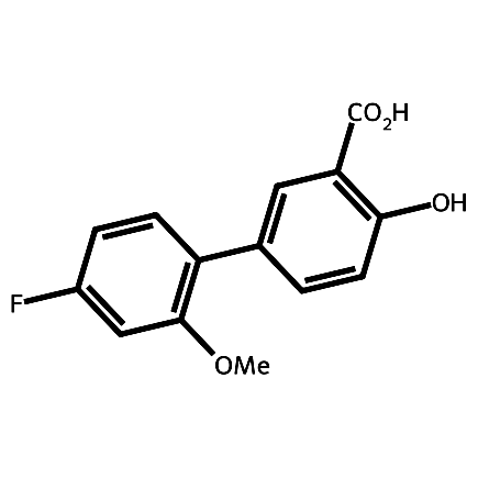 COc1cc(F)ccc1-c1ccc(O)c(C(=O)O)c1